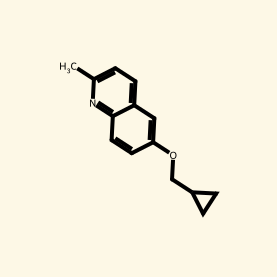 Cc1ccc2cc(OCC3CC3)ccc2n1